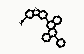 N#Cc1ccc2sc3ccc(-c4cc5c6ccccc6c(-c6ccccc6)cc5c5ccccc45)cc3c2c1